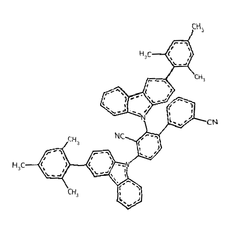 Cc1cc(C)c(-c2ccc3c(c2)c2ccccc2n3-c2ccc(-c3cccc(C#N)c3)c(-n3c4ccccc4c4cc(-c5c(C)cc(C)cc5C)ccc43)c2C#N)c(C)c1